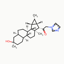 C[C@H]1[C@@H]2[C@H]1[C@H](C(=O)Cn1ccnc1)[C@@]1(C)CC[C@H]3[C@@H](CC[C@@H]4C[C@](C)(O)CC[C@@H]43)[C@H]21